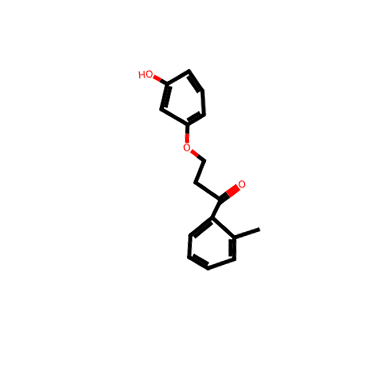 Cc1ccccc1C(=O)CCOc1cccc(O)c1